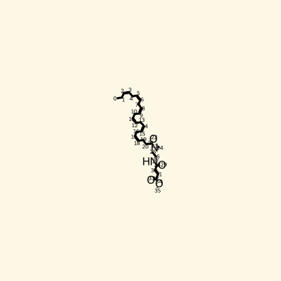 CC/C=C\C/C=C\C/C=C\C/C=C\C/C=C\C/C=C\CCC(=O)N(C)CCNC(=O)/C=C/C(=O)OC